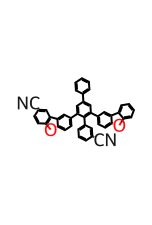 N#Cc1cccc(-c2c(-c3ccc4oc5ccccc5c4c3)cc(-c3ccccc3)cc2-c2ccc3oc4ccc(C#N)cc4c3c2)c1